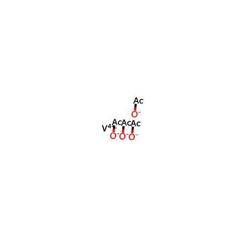 CC(=O)[O-].CC(=O)[O-].CC(=O)[O-].CC(=O)[O-].[V+4]